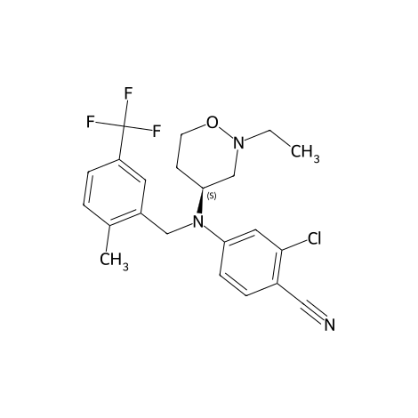 CCN1C[C@@H](N(Cc2cc(C(F)(F)F)ccc2C)c2ccc(C#N)c(Cl)c2)CCO1